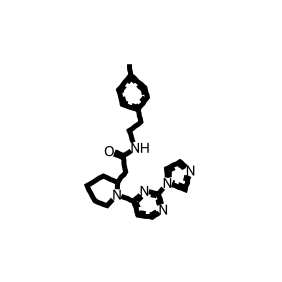 Cc1ccc(CCNC(=O)CC2CCCCN2c2ccnc(-n3ccnc3)n2)cc1